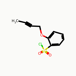 CC#CCOc1ccccc1S(=O)(=O)Cl